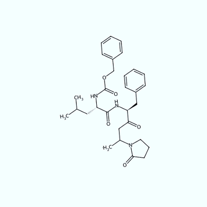 [CH2]C(CC(=O)[C@H](Cc1ccccc1)NC(=O)[C@H](CC(C)C)NC(=O)OCc1ccccc1)N1CCCC1=O